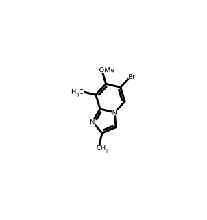 COc1c(Br)cn2cc(C)nc2c1C